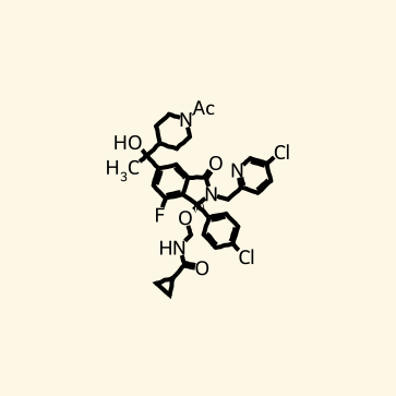 CC(=O)N1CCC(C(C)(O)c2cc(F)c3c(c2)C(=O)N(Cc2ccc(Cl)cn2)[C@@]3(OCNC(=O)C2CC2)c2ccc(Cl)cc2)CC1